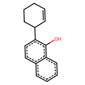 Oc1c(C2C=CCCC2)ccc2ccccc12